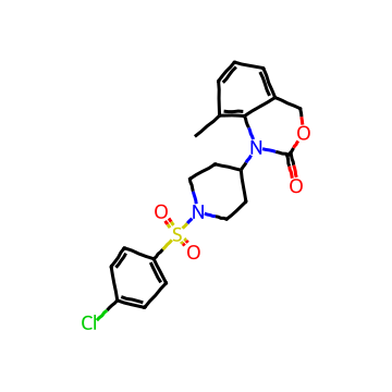 Cc1cccc2c1N(C1CCN(S(=O)(=O)c3ccc(Cl)cc3)CC1)C(=O)OC2